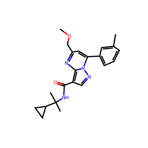 COCc1cc(-c2cccc(C)c2)n2ncc(C(=O)NC(C)(C)C3CC3)c2n1